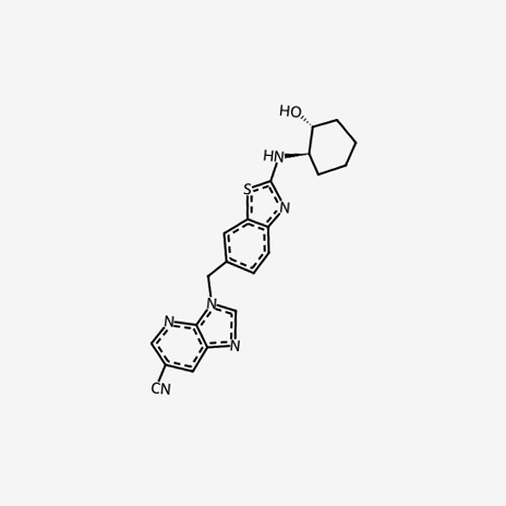 N#Cc1cnc2c(c1)ncn2Cc1ccc2nc(N[C@@H]3CCCC[C@H]3O)sc2c1